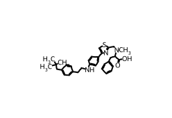 CN(Cc1nc(-c2ccc(NCCc3ccc(CC(C)(C)C)cc3)cc2)cs1)C(Cc1ccccc1)C(=O)O